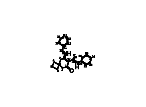 O=C1CC2(CCC2)CC(NCc2ccncc2)=C1C(=S)Nc1ccccc1